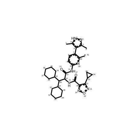 Cc1n[nH]c(C)c1-c1ccc(NC(=O)C(NC(=O)c2nonc2C2CC2)C(C2CCCCC2)C2CCCCC2)nc1F